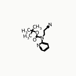 CC(C)(C)OC(=O)N(CCC#N)c1ccccn1